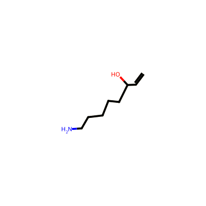 C=CC(O)CCCCCN